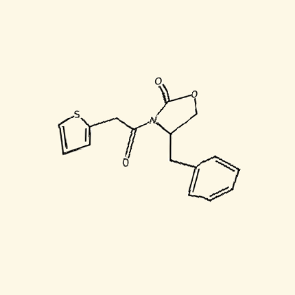 O=C(Cc1cccs1)N1C(=O)OCC1Cc1ccccc1